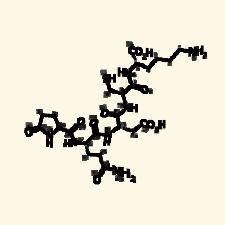 NCCCC[C@H](NC(=O)[C@H](CS)NC(=O)[C@H](CC(=O)O)NC(=O)[C@H](CCC(N)=O)NC(=O)[C@@H]1CCC(=O)N1)C(=O)O